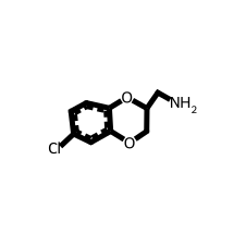 NCC1COc2cc(Cl)ccc2O1